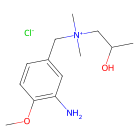 COc1ccc(C[N+](C)(C)CC(C)O)cc1N.[Cl-]